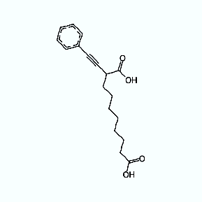 O=C(O)CCCCCCCC(C#Cc1ccccc1)C(=O)O